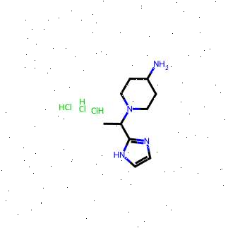 CC(c1ncc[nH]1)N1CCC(N)CC1.Cl.Cl.Cl